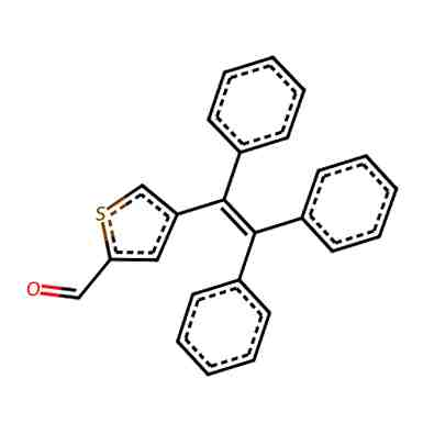 O=Cc1cc(C(=C(c2ccccc2)c2ccccc2)c2ccccc2)cs1